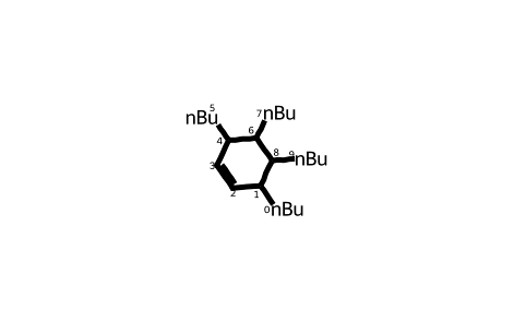 CCCCC1C=CC(CCCC)C(CCCC)C1CCCC